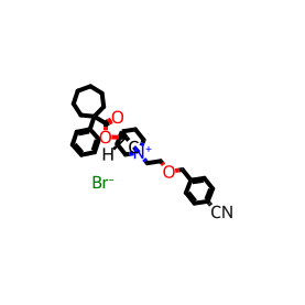 N#Cc1ccc(COCC[N+]23CCC(CC2)[C@@H](OC(=O)C2(c4ccccc4)CCCCCC2)C3)cc1.[Br-]